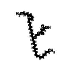 CCCCC/C=C\C/C=C\CCCCCCCCC(CCCCCCCC/C=C\C/C=C\CCCCC)OCCOC(=O)CCC(=O)O